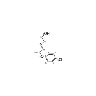 CC(C=NCCO)Oc1ccc(Cl)cc1